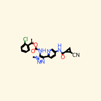 C[C@@H](OC(=O)Nc1c(-c2ccc(NC(=O)C3CC3C#N)cn2)nnn1C)c1ccccc1Cl